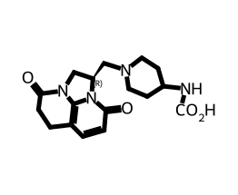 O=C(O)NC1CCN(C[C@@H]2CN3C(=O)CCc4ccc(=O)n2c43)CC1